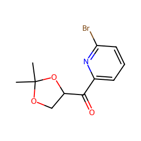 CC1(C)OCC(C(=O)c2cccc(Br)n2)O1